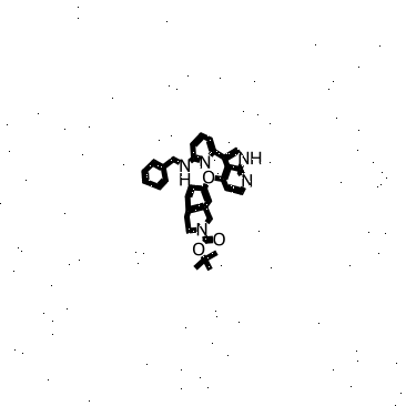 CC(C)(C)OC(=O)N1CCc2ccc(Oc3ccnc4[nH]cc(-c5cccc(NCc6ccccc6)n5)c34)cc2C1